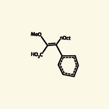 CCCCCCCCC(=C(OC)C(=O)O)c1ccccc1